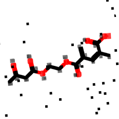 C=C(C=C(C)C(=O)O)C(=O)OCCOC(=O)CC(C)=O